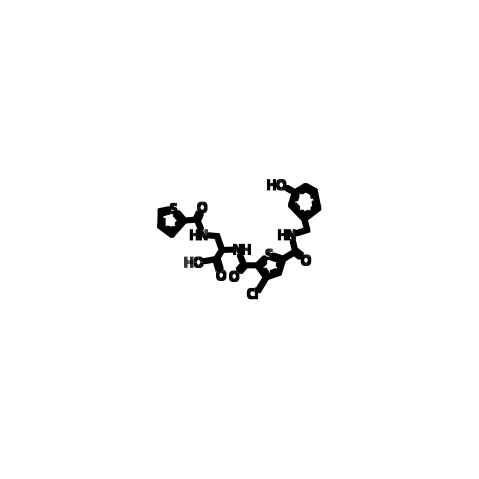 O=C(NCC(NC(=O)c1sc(C(=O)NCc2cccc(O)c2)cc1Cl)C(=O)O)c1cccs1